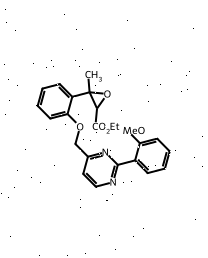 CCOC(=O)C1OC1(C)c1ccccc1OCc1ccnc(-c2ccccc2OC)n1